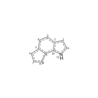 c1cc2ccc3ccsc3c2[nH]1